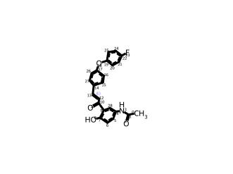 CC(=O)Nc1ccc(O)c(C(=O)/C=C/c2ccc(Oc3ccc(F)cc3)cc2)c1